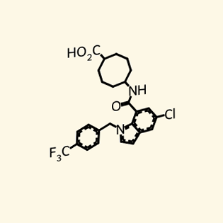 O=C(NC1CCCC(C(=O)O)CCC1)c1cc(Cl)cc2ccn(Cc3ccc(C(F)(F)F)cc3)c12